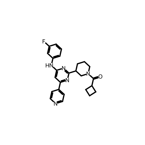 O=C(C1CCC1)N1CCCC(c2nc(Nc3cccc(F)c3)cc(-c3ccncc3)n2)C1